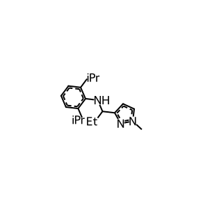 CCC(Nc1c(C(C)C)cccc1C(C)C)c1ccn(C)n1